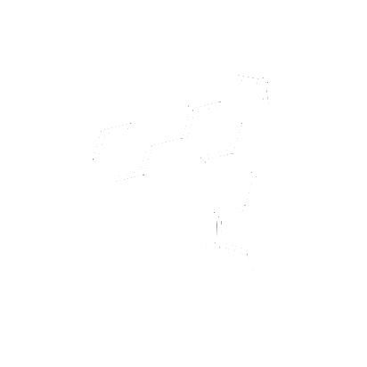 Cc1cc(Nc2nc(-c3ccccc3C(F)(F)F)nc3cnoc23)n[nH]1